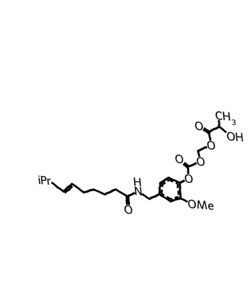 COc1cc(CNC(=O)CCCC/C=C/C(C)C)ccc1OC(=O)OCOC(=O)C(C)O